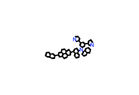 c1cncc(-c2cc(-c3cccnc3)cc(N(c3cccc4ccccc34)c3ccc(-c4cc5ccc6cc(-c7ccc8ccccc8c7)cc7ccc(c4)c5c67)c4ccccc34)c2)c1